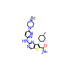 CC(=O)N1CCN(c2ccc(Nc3ncc4sc(C(=O)N(C)C)c([C@H]5CC[C@H](C)CC5)c4n3)nn2)CC1